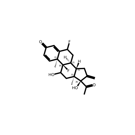 C=C1C[C@H]2[C@@H]3CC(F)C4=CC(=O)C=C[C@]4(C)[C@@]3(F)C(O)C[C@]2(C)[C@@]1(O)C(C)=O